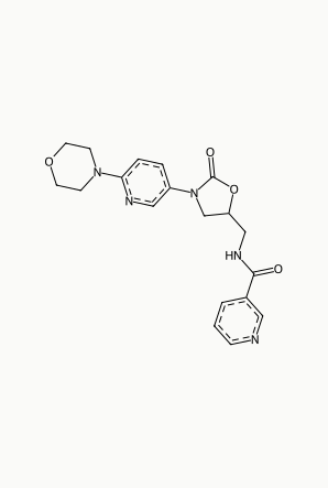 O=C(NCC1CN(c2ccc(N3CCOCC3)nc2)C(=O)O1)c1cccnc1